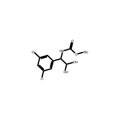 CC(C)(C)OC(=O)NC(c1cc(Cl)cc(Cl)c1)C(O)O